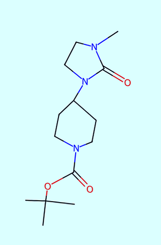 CN1CCN(C2CCN(C(=O)OC(C)(C)C)CC2)C1=O